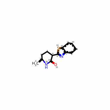 C=C1CCC(c2nc3ccccc3s2)C(=O)N1